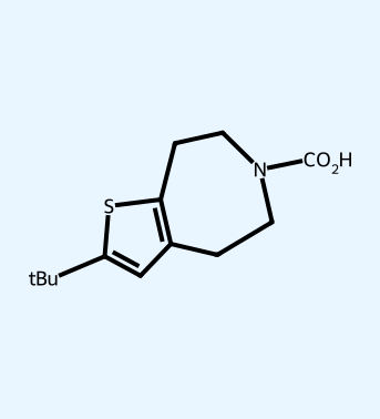 CC(C)(C)c1cc2c(s1)CCN(C(=O)O)CC2